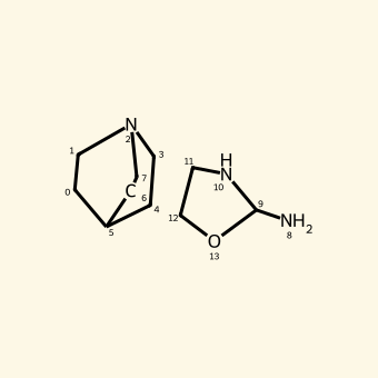 C1CN2CCC1CC2.NC1NCCO1